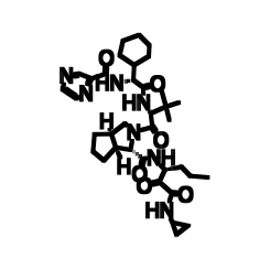 CCC[C@H](NC(=O)[C@@H]1[C@@H]2CCC[C@H]2CN1C(=O)[C@H](NC(=O)[C@H](NC(=O)c1cnccn1)C1CCCCC1)C(C)(C)C)C(=O)C(=O)NC1CC1